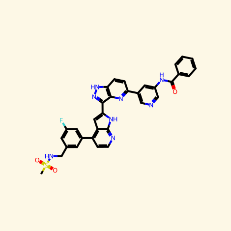 CS(=O)(=O)NCc1cc(F)cc(-c2ccnc3[nH]c(-c4n[nH]c5ccc(-c6cncc(NC(=O)c7ccccc7)c6)nc45)cc23)c1